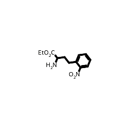 CCOC(=O)C(N)CCc1ccccc1[N+](=O)[O-]